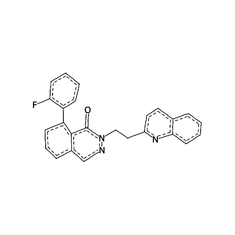 O=c1c2c(-c3ccccc3F)cccc2cnn1CCc1ccc2ccccc2n1